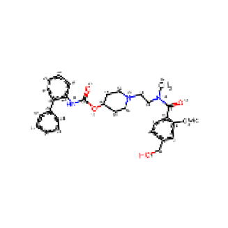 COc1cc(CO)ccc1C(=O)N(C)CCN1CCC(OC(=O)Nc2ccccc2-c2ccccc2)CC1